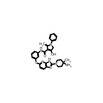 C=C1C(C(=O)Nc2cccc(Sc3ccc4nc(N5CCC(C)(N)CC5)[nH]c4n3)c2)=C(O)CN1c1ccccc1